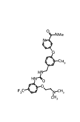 CNC(=O)c1cc(Oc2ccc(CNC(=O)Nc3cc(C(F)(F)F)ccc3OCCN(C)C)cc2C)ccn1